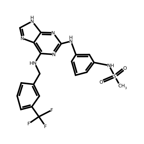 CS(=O)(=O)Nc1cccc(Nc2nc(NCc3cccc(C(F)(F)F)c3)c3nc[nH]c3n2)c1